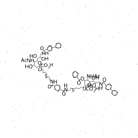 CC(=O)N[C@H]1[C@H]([C@H](O)[C@H](O)CNC(=O)c2ccc(-c3ccccc3)cc2)O[C@@](OCCCSCCNC(=O)c2ccc(C(=O)NCCSCCCO[C@]3(C(=O)O)C[C@H](O)[C@@H](NC(C)=O)[C@H]([C@H](O)[C@H](O)CNC(=O)c4ccc(-c5ccccc5)cc4)O3)cc2)(C(=O)O)C[C@@H]1OC(=O)c1ccccc1